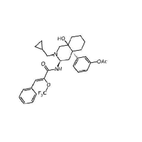 CC(=O)Oc1cccc([C@@]23CCCCC2(O)CN(CC2CC2)[C@H](NC(=O)C(=Cc2ccccc2)OC(F)(F)F)C3)c1